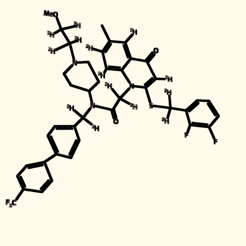 [2H]c1c(C)c([2H])c2c(=O)c([2H])c(SC([2H])([2H])c3cccc(F)c3F)n(C([2H])([2H])C(=O)N(C3CCN(C([2H])([2H])C([2H])([2H])OC)CC3)C([2H])([2H])c3ccc(-c4ccc(C(F)(F)F)cc4)cc3)c2c1[2H]